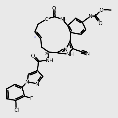 COC(=O)Nc1ccc2c(c1)NC(=O)CC/C=C/C[C@H](NC(=O)c1cnn(-c3cccc(Cl)c3F)c1)c1nc-2c(C#N)[nH]1